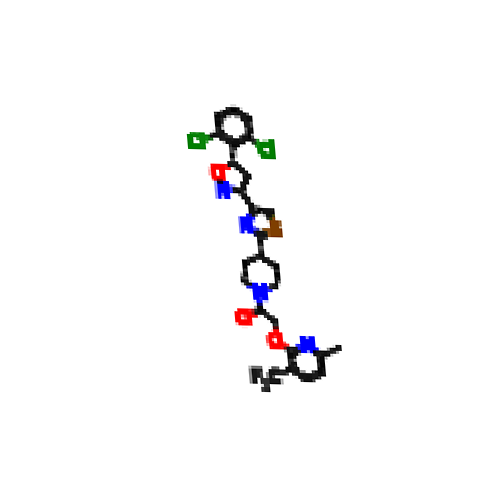 Cc1ccc(C(F)(F)F)c(OCC(=O)N2CCC(c3nc(C4=NOC(c5c(Cl)cccc5Cl)C4)cs3)CC2)n1